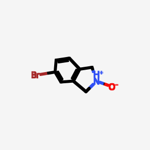 [O-][NH+]1Cc2ccc(Br)cc2C1